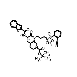 CN(CCCNC(=O)[C@H](CC1CCN(C(=O)OC(C)(C)C)CC1)NC(=O)c1cc2ccccc2s1)S(=O)(=O)c1ccccc1C#N